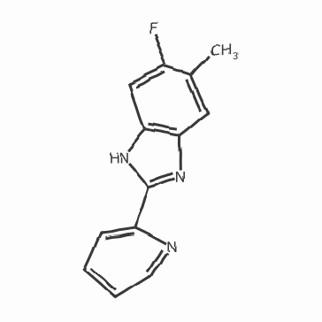 Cc1cc2nc(-c3ccccn3)[nH]c2cc1F